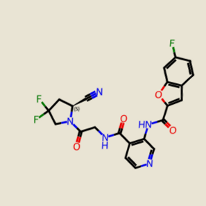 N#C[C@@H]1CC(F)(F)CN1C(=O)CNC(=O)c1ccncc1NC(=O)c1cc2ccc(F)cc2o1